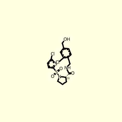 O=C(NCc1ccc(CO)cc1Cl)[C@@H]1CCCN1S(=O)(=O)c1ccc(Cl)s1